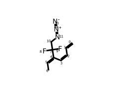 C=C/C=C\C(=C/C)C(F)(F)CN=[N+]=[N-]